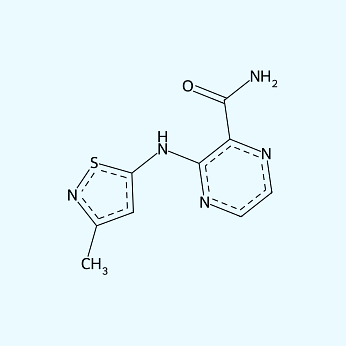 Cc1cc(Nc2nccnc2C(N)=O)sn1